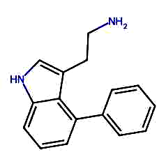 NCCc1c[nH]c2cccc(-c3ccccc3)c12